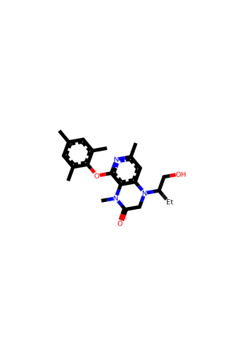 CCC(CO)N1CC(=O)N(C)c2c1cc(C)nc2Oc1c(C)cc(C)cc1C